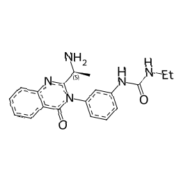 CCNC(=O)Nc1cccc(-n2c([C@H](C)N)nc3ccccc3c2=O)c1